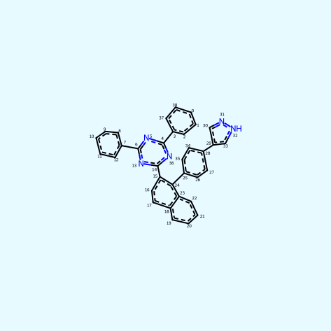 c1ccc(-c2nc(-c3ccccc3)nc(-c3ccc4ccccc4c3-c3ccc(-c4cn[nH]c4)cc3)n2)cc1